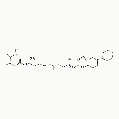 CC(C)C(C)C(C)C(C)CN/C=C(\N)CCCCNCC/C(C#N)=C/c1ccc2c(c1)CCC(N1CCCCC1)=C2